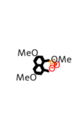 COc1cc2c3c(cc(OC)cc3c1)CP(=O)(OC)OC2